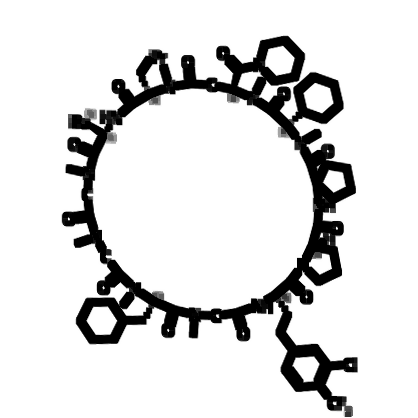 CC[C@H](C)[C@@H]1NC(=O)[C@H](CC(C)C)N(C)C(=O)C[C@@H](C(=O)N2CCCCC2)N(C)C(=O)[C@H](C2CCCCC2)N(C)C(=O)C2(CCCC2)NC(=O)[C@@H]2CCCN2C(=O)[C@H](CCc2ccc(C(F)(F)F)c(Cl)c2)NC(=O)CN(C)C(=O)[C@H](CC2CCCCC2)N(C)C(=O)CN(C)C(=O)CN(C)C1=O